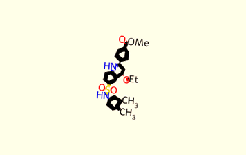 CCO[C@H]1C[C@H](c2ccc(C(=O)OC)cc2)Nc2ccc(S(=O)(=O)Nc3ccc(C)c(C)c3)cc21